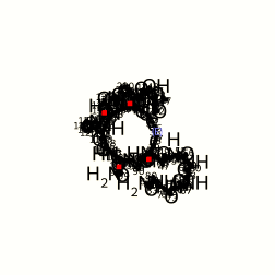 CC(=O)N[C@@H](CC(C)C)C(=O)N[C@H](C(=O)C(=O)[C@H](Cc1ccccc1)NN[C@]1(C)CCCCCC/C=C/CCC[C@@](C)(C(=O)CN[C@@H](C)C(=O)CNC(C)(C)C(=O)CN[C@@H](C)C(=O)CCN[C@@H](C)C(=O)CCC(=O)[C@H](C)NCN[C@H](C)C(N)=O)NC(=O)[C@H](CC(C)C)NN[C@@H](CCC(N)=O)C(=O)CN[C@@H](C)C(=O)CC(=O)[C@H](Cc2c[nH]c3ccccc23)NN[C@@H](Cc2ccc(O)cc2)C(=O)N[C@@H](CCC(=O)O)C(=O)C1=O)[C@@H](C)O